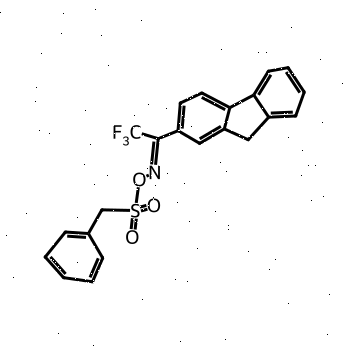 O=S(=O)(Cc1ccccc1)ON=C(c1ccc2c(c1)Cc1ccccc1-2)C(F)(F)F